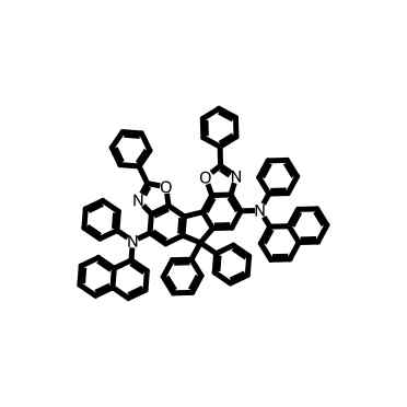 c1ccc(-c2nc3c(N(c4ccccc4)c4cccc5ccccc45)cc4c(c3o2)-c2c(cc(N(c3ccccc3)c3cccc5ccccc35)c3nc(-c5ccccc5)oc23)C4(c2ccccc2)c2ccccc2)cc1